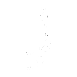 COc1cc(OC)c(-c2cn3ccc(N4CCN(c5ccc([N+](=O)[O-])nc5)CC4)cc3n2)cc1Cl